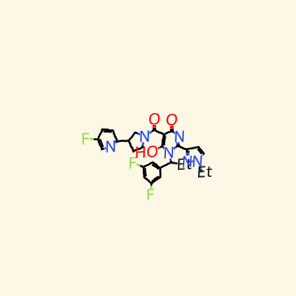 CCC(c1cc(F)cc(F)c1)n1c(-c2ccn(CC)n2)nc(=O)c(C(=O)N2CCC(c3ccc(F)cn3)C2)c1O